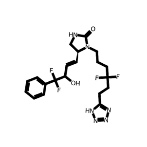 O=C1NC[C@H](C=CC(O)C(F)(F)c2ccccc2)N1CCCC(F)(F)CCc1nnn[nH]1